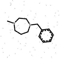 CN1CCCN(Cc2cc[c]cc2)CC1